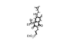 CCOC(=O)/C=C/Cn1c(=O)c2cc(F)c(NCC3CC3)cc2n(C(CC)CC)c1=O